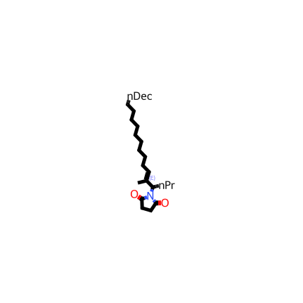 CCCCCCCCCCCCCCCCCCC/C=C(\C)C(CCC)N1C(=O)CCC1=O